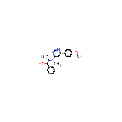 C[C@H]([C@H](O)c1ccccc1)N(C)c1cc(-c2ccc(OC(F)(F)F)cc2)ncn1